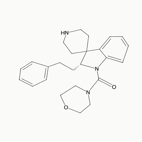 O=C(N1CCOCC1)N1c2ccccc2C2(CCNCC2)[C@H]1CCc1ccccc1